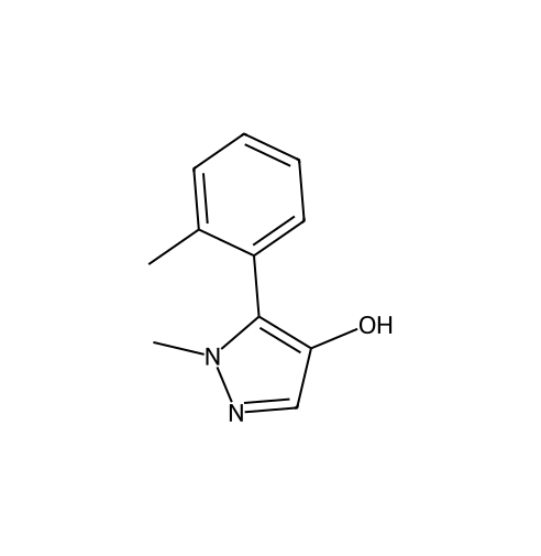 Cc1ccccc1-c1c(O)cnn1C